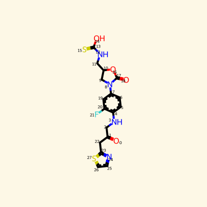 O=C(CNc1ccc(N2CC(CNC(O)=S)OC2=O)cc1F)Cc1nccs1